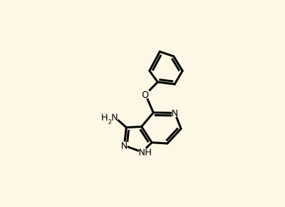 Nc1n[nH]c2ccnc(Oc3ccccc3)c12